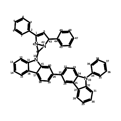 C1=C(c2ccccc2)N2C(n3c4ccccc4c4ccc(-c5ccc6c(c5)c5ccccc5n6-c5ccccc5)cc43)N2C1c1ccccc1